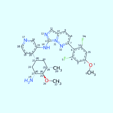 COc1cc(F)c(-c2ccc3cnc(Nc4cnccc4[C@H]4C[C@@H](N)[C@H](OC)[C@@H](C)C4)n3n2)c(F)c1